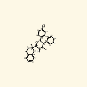 CC(NC(=O)C1(C)CCc2ccccc2C1)C(Cc1ccc(Cl)cc1)c1ccccc1